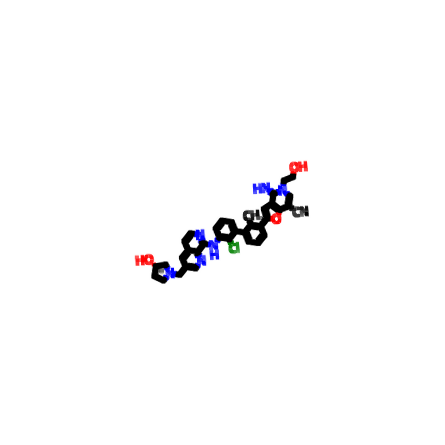 Cc1c(-c2cc3c(=N)n(CCO)cc(C#N)c3o2)cccc1-c1cccc(Nc2nccc3cc(CN4CC[C@@H](O)C4)cnc23)c1Cl